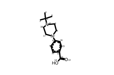 CC(C)(C)N1CCN(c2ccc(C(=O)O)cc2)CC1